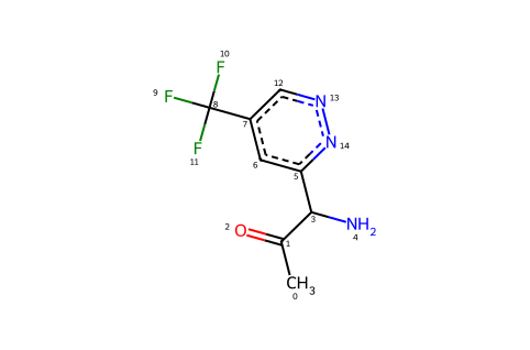 CC(=O)C(N)c1cc(C(F)(F)F)cnn1